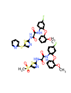 COc1ccccc1Oc1cc(F)ccc1NC(=O)C(=O)Nc1ncc(S(C)(=O)=O)s1.COc1ccccc1Oc1cc(F)ccc1NC(=O)C(=O)Nc1ncc(Sc2ccccn2)s1